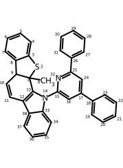 CC12Sc3ccccc3C1C=Cc1c2n(-c2cc(-c3ccccc3)cc(-c3ccccc3)n2)c2ccccc12